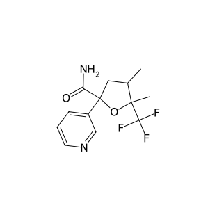 CC1CC(C(N)=O)(c2cccnc2)OC1(C)C(F)(F)F